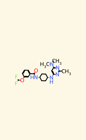 Cc1nc(N[C@H]2CC[C@@H](NC(=O)c3cccc(OC(F)F)c3)CC2)cc(N(C)C)n1